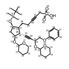 CC(C)(C)[Si](C)(C)O[C@@H]1C[C@H](OC2CCCCO2)[C@@H](C#C[C@@H](COc2ccccc2)OC2CCCCO2)[C@@H]1CCC#CCS(=O)(=O)O